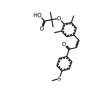 CSc1ccc(C(=O)/C=C\c2cc(C)c(OC(C)(C)C(=O)O)c(C)c2)cc1